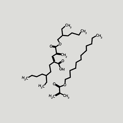 C=C(C)C(=O)OCCCCCCCCCCCC.C=C(C=C(CCC(CC)CCCC)C(=O)O)C(=O)OCC(CC)CCCC